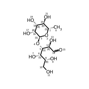 C[C@@H]1O[C@@H](O[C@@H]([C@@H](O)[C@H](O)CO)[C@@H](O)C=O)[C@H](O)[C@H](O)[C@H]1O